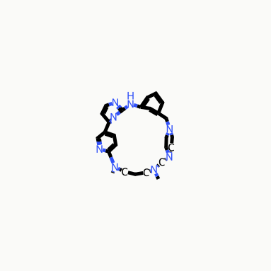 CN1CCCN(C)c2ccc(cn2)-c2ccnc(n2)Nc2cccc(c2)CN2CCN(CC2)C1